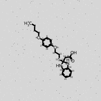 CCCCOc1ccc(OCCSC2(CC(=O)O)Nc3ccccc3N2)cc1